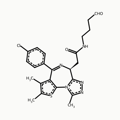 Cc1sc2c(c1C)C(c1ccc(Cl)cc1)=N[C@@H](CC(=O)NCCCC=O)c1nnc(C)n1-2